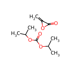 C=C1OC1=O.CC(C)OC(=O)OC(C)C